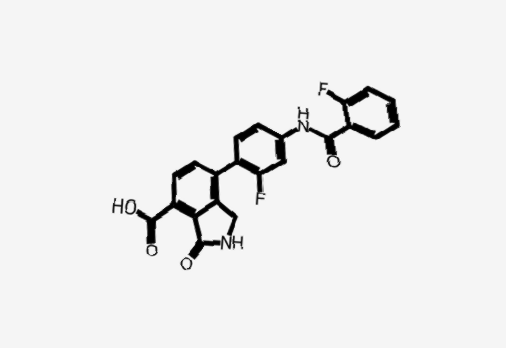 O=C(Nc1ccc(-c2ccc(C(=O)O)c3c2CNC3=O)c(F)c1)c1ccccc1F